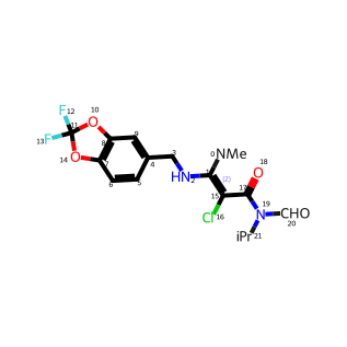 CN/C(NCc1ccc2c(c1)OC(F)(F)O2)=C(/Cl)C(=O)N(C=O)C(C)C